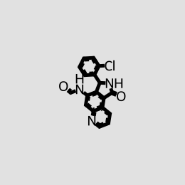 O=CNc1cc2ncccc2c2c1C(c1ccccc1Cl)NC2=O